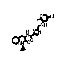 Cc1ncc(Cl)cc1NCc1ncc(C(=O)NC(CC2CCCCC2)C(=O)NC2CC2)s1